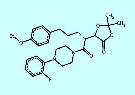 CCOc1ccc(CCC[C@@H](C(=O)N2CCN(c3ccccc3F)CC2)[C@@H]2OC(C)(C)OC2=O)cc1